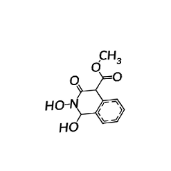 COC(=O)C1C(=O)N(O)C(O)c2ccccc21